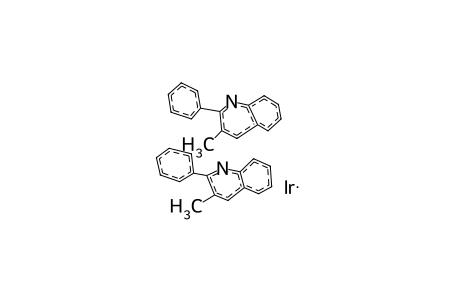 Cc1cc2ccccc2nc1-c1ccccc1.Cc1cc2ccccc2nc1-c1ccccc1.[Ir]